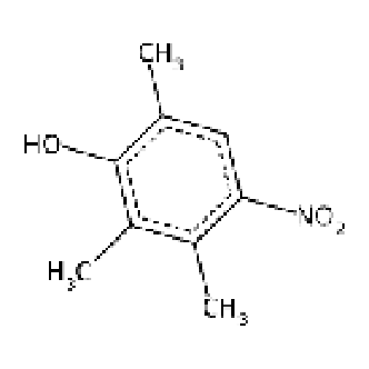 Cc1cc([N+](=O)[O-])c(C)c(C)c1O